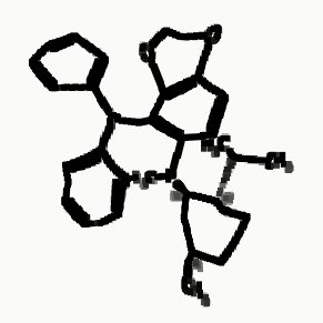 CC(C)[C@@H]1CC[C@@H](C)C[C@H]1P(C)c1ccc2c(c1P(c1ccccc1)c1ccccc1)OCO2